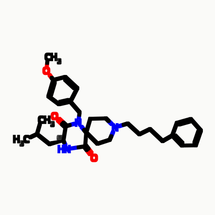 COc1ccc(CN2C(=O)[C@H](CC(C)C)NC(=O)C23CCN(CCCCc2ccccc2)CC3)cc1